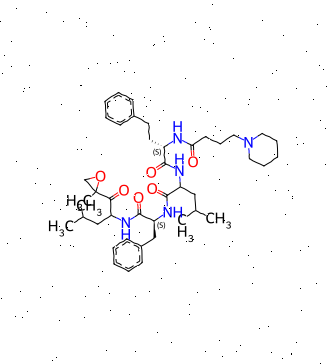 CC(C)CC(NC(=O)[C@H](CCc1ccccc1)NC(=O)CCCN1CCCCC1)C(=O)N[C@@H](Cc1ccccc1)C(=O)NC(CC(C)C)C(=O)C1(C)CO1